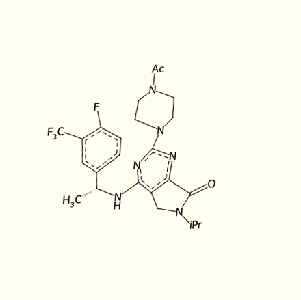 CC(=O)N1CCN(c2nc(N[C@H](C)c3ccc(F)c(C(F)(F)F)c3)c3c(n2)C(=O)N(C(C)C)C3)CC1